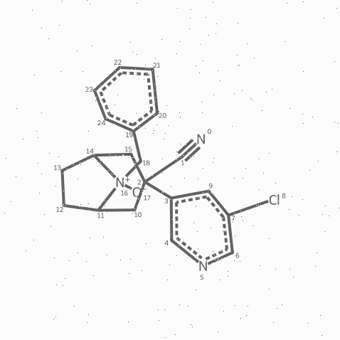 N#CC1(c2cncc(Cl)c2)CC2CCC(C1)[N+]2([O-])Cc1ccccc1